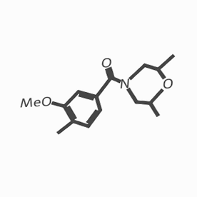 COc1cc(C(=O)N2CC(C)OC(C)C2)ccc1C